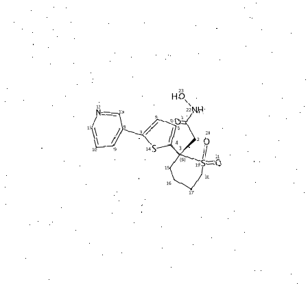 O=C(C[C@]1(c2ccc(-c3cccnc3)s2)CCCCS1(=O)=O)NO